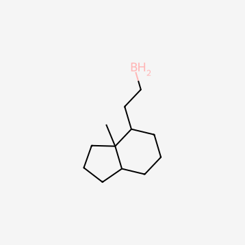 BCCC1CCCC2CCCC12C